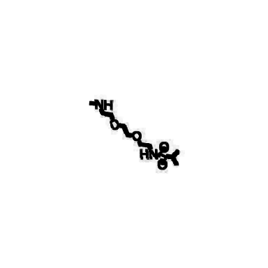 CNCCOCCOCCNS(=O)(=O)C(C)C